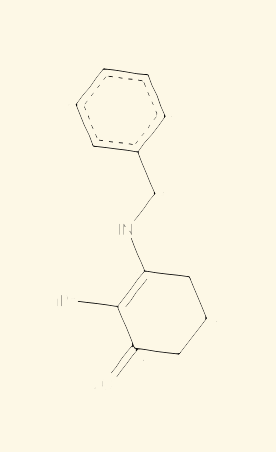 CC(C)C1=C(NCc2ccccc2)CCCC1=O